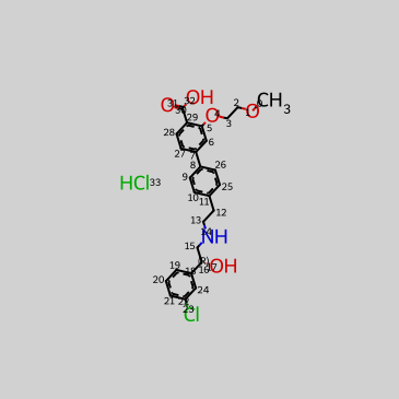 COCCOc1cc(-c2ccc(CCNC[C@H](O)c3cccc(Cl)c3)cc2)ccc1C(=O)O.Cl